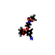 Cc1cc(C#N)cc(B2OC(C)(C)C(C)(C)O2)c1OCC1(C)CN(C(=O)OC(C)(C)C)C1